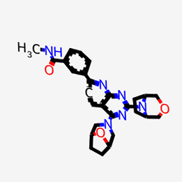 CNC(=O)c1cccc(-c2ccc3c(N4CC5CCC(C4)O5)nc(N4C5CCC4COC5)nc3n2)c1